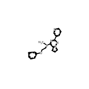 CN(CCOc1ccccc1)c1nc(-c2cccnc2)nn2cccc12